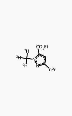 [2H]C([2H])([2H])n1nc(CCC)cc1C(=O)OCC